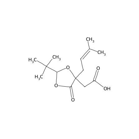 CC(C)=CCC1(CC(=O)O)OC(C(C)(C)C)OC1=O